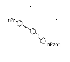 CCCCCc1ccc(CCc2ccc(C#Cc3ccc(CCC)cc3)cc2)cc1